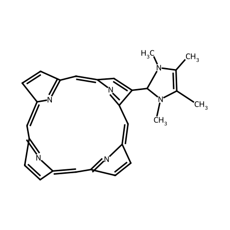 CC1=C(C)N(C)C(C2=CC3=CC4=NC(=CC5=NC(=CC6=NC(=CC2=N3)C=C6)C=C5)C=C4)N1C